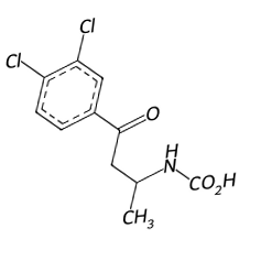 CC(CC(=O)c1ccc(Cl)c(Cl)c1)NC(=O)O